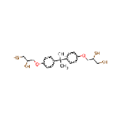 CC(C)(c1ccc(OCC(S)CS)cc1)c1ccc(OCC(S)CS)cc1